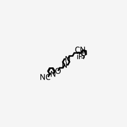 CC(C)C(C#N)(CCCN1CCN(CCOc2cccc(C#N)n2)CC1)c1cccs1